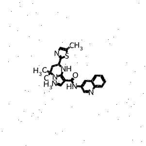 Cc1cnc(C2CC(C)(C)n3ncc(C(=O)Nc4cnc5ccccc5c4)c3N2)s1